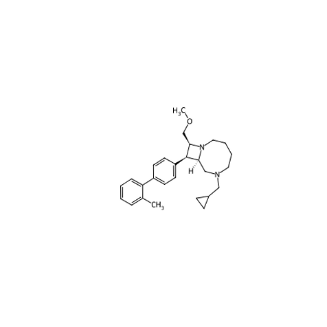 COC[C@@H]1[C@H](c2ccc(-c3ccccc3C)cc2)[C@@H]2CN(CC3CC3)CCCCN12